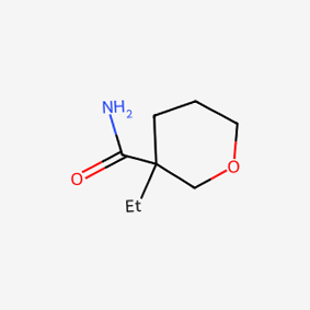 CCC1(C(N)=O)CCCOC1